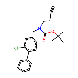 C#CCCN(Cc1ccc(-c2ccccc2)c(Cl)c1)C(=O)OC(C)(C)C